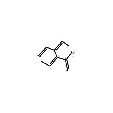 C=CC(=C/C)/C(=C\C)C(=C)S